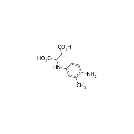 Cc1cc(NC(CC(=O)O)C(=O)O)ccc1N